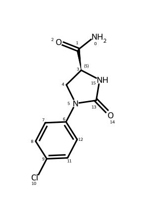 NC(=O)[C@@H]1CN(c2ccc(Cl)cc2)C(=O)N1